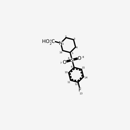 O=C(O)N1CCCC(S(=O)(=O)c2ccc(F)cc2)C1